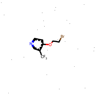 FC(F)(F)c1cnccc1OCCBr